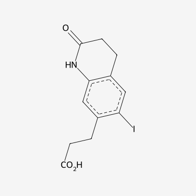 O=C(O)CCc1cc2c(cc1I)CCC(=O)N2